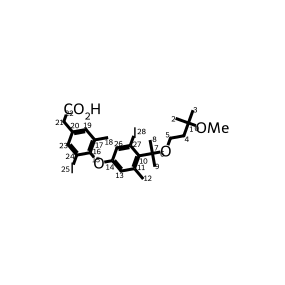 COC(C)(C)CCOC(C)(C)c1c(C)cc(Oc2c(C)cc(CC(=O)O)cc2I)cc1I